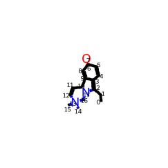 CCC1=C2C=CC(=O)C=C2C2C=C[N+](C)(C)CN12